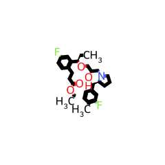 CCOC(=O)CCc1ccc(F)cc1[C@@H](CC)OC[C@H](O)CN1CCC[C@H]1Cc1ccc(C)c(F)c1